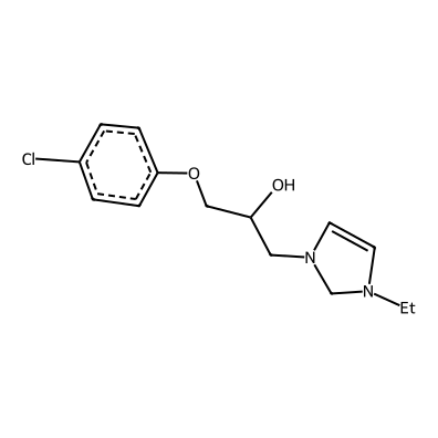 CCN1C=CN(CC(O)COc2ccc(Cl)cc2)C1